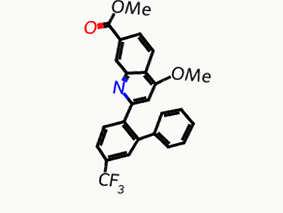 COC(=O)c1ccc2c(OC)cc(-c3ccc(C(F)(F)F)cc3-c3ccccc3)nc2c1